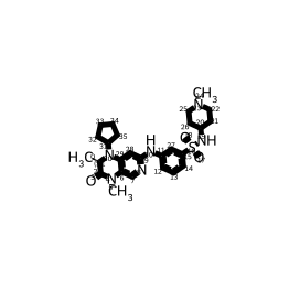 C[C@H]1C(=O)N(C)c2cnc(Nc3cccc(S(=O)(=O)NC4CCN(C)CC4)c3)cc2N1C1CCCC1